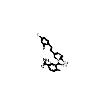 Cc1ccc(C(N)=O)cc1C1NNC2=CC=C(CCc3ccc(F)cc3F)CN21